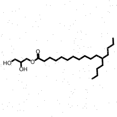 CCCCC(CCCC)CCCCCCCCCCC(=O)OCC(O)CO